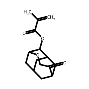 C=C(C)C(=O)OC1C2CC3CC(C2)C(=O)COC1C3